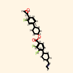 C/C=C/C1CCC(c2ccc(C(=O)OC3CCC(c4ccc(C5CO5)c(F)c4)CC3)c(F)c2F)CC1